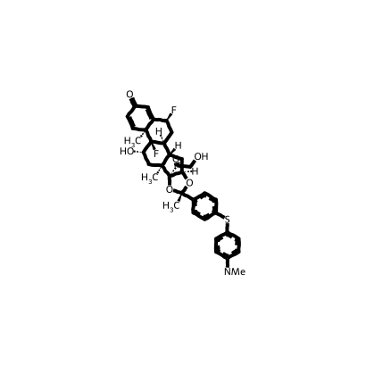 CNc1ccc(Sc2ccc([C@@]3(C)O[C@@H]4C[C@H]5[C@@H]6C[C@H](F)C7=CC(=O)C=C[C@]7(C)[C@@]6(F)[C@@H](O)C[C@]5(C)[C@]4(C(=O)CO)O3)cc2)cc1